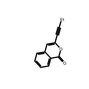 CCC#Cc1cc2ccccc2c(=O)o1